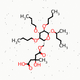 CCCCO[C@@H]1[C@@H](OCCCC)[C@H](O[C@@H](C)CCC)O[C@H](COC(=O)CC(C)(O)CC(=O)O)[C@H]1OCCCC